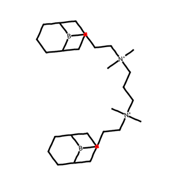 C[N+](C)(CCCB1C2CCCC1CCC2)CCC[N+](C)(C)CCCB1C2CCCC1CCC2